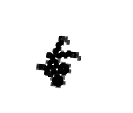 CCCCCN(CCCCC)C(=O)C1CCN(C(=O)N(c2ccccc2)c2ccccc2)C(C(=O)O)C1